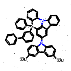 CC(C)(C)c1ccc2c(c1)c1cc(C(C)(C)C)ccc1n2-c1cc2c3c(c1)c1ccccc1n3-c1ccccc1[Si]2(c1ccccc1)c1cccc(-c2ccccc2)c1